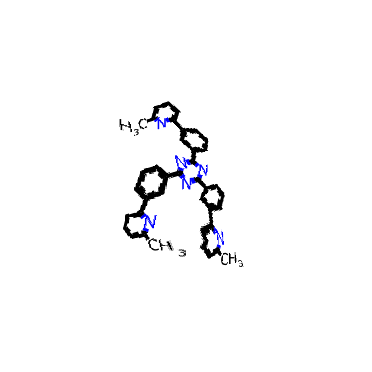 Cc1cccc(-c2cccc(-c3nc(-c4cccc(-c5cccc(C)n5)c4)nc(-c4cccc(-c5cccc(C)n5)c4)n3)c2)n1